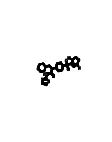 O=C(Nc1nccs1)C(CC1CCOCC1)c1ccc(S(=O)(=O)N2C[C@@H]3C[C@H]2CO3)cc1